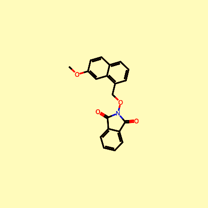 COc1ccc2cccc(CON3C(=O)c4ccccc4C3=O)c2c1